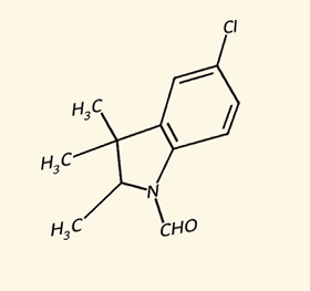 CC1N(C=O)c2ccc(Cl)cc2C1(C)C